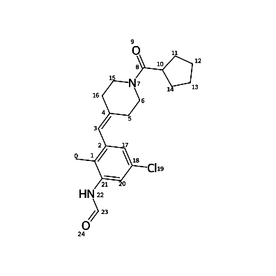 Cc1c(C=C2CCN(C(=O)C3CCCC3)CC2)cc(Cl)cc1NC=O